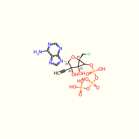 C#C[C@]1(O)[C@H](n2cnc3c(N)ncnc32)O[C@]2(CF)C(OP(=O)(O)OP(=O)(O)OP(=O)(O)O)[C@@]21O